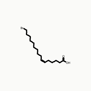 O=C(O)CCCC/C=C\CCCCCCCCCBr